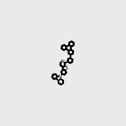 C1=CC2c3ccccc3N(c3ccc4sc5c(-c6cccc(-c7ccc8c9ccccc9c9ccccc9c8c7)c6)nccc5c4c3)C2C=C1